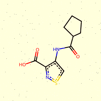 O=C(O)c1nscc1NC(=O)C1CCCC1